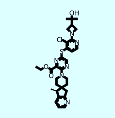 CCOC(=O)c1nc(Sc2ccnc(N3CC(C(C)(C)O)C3)c2Cl)cnc1N1CCC2(CC1)Cc1ncccc1[C@H]2C